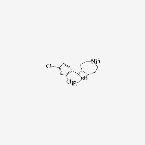 CC(C)n1nc2c(c1-c1ccc(Cl)cc1Cl)CCNCC2